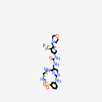 O=C(NCc1cnc2nc1NCCCNS(=O)(=O)c1cccc(c1)N2)Nc1ccc(CN2CCOCC2)c(C(F)(F)F)c1